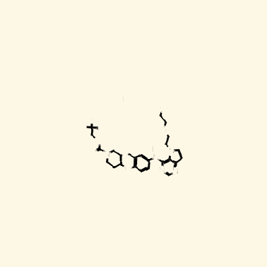 Cl.O=C(OCC(F)(F)F)N1CCC(Oc2ccc(Nc3ncnc4ccn(CCOCCO)c34)cc2Cl)CC1